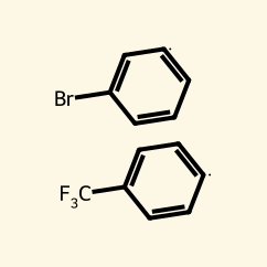 Brc1c[c]ccc1.FC(F)(F)c1cc[c]cc1